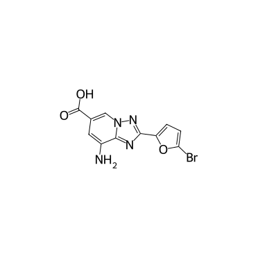 Nc1cc(C(=O)O)cn2nc(-c3ccc(Br)o3)nc12